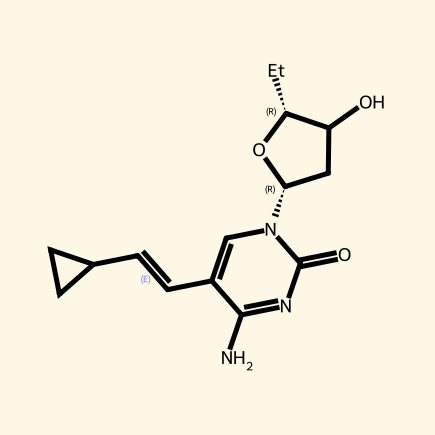 CC[C@H]1O[C@@H](n2cc(/C=C/C3CC3)c(N)nc2=O)CC1O